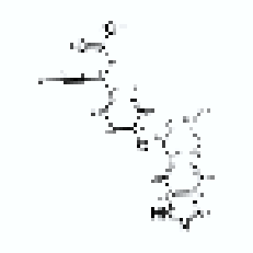 CC#CC(CC(=O)O)c1ccc(OC(CC(C)C)c2ccc3cn[nH]c3c2)cc1